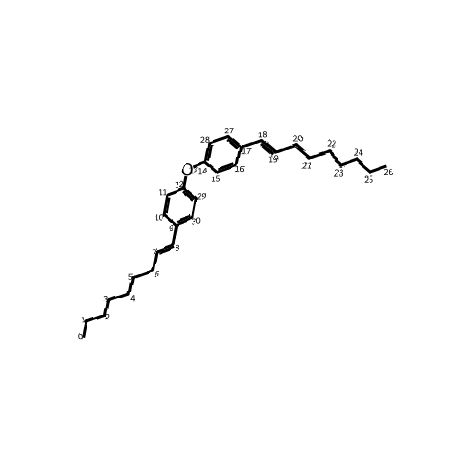 CCCCCCCC=Cc1ccc(Oc2ccc(C=CCCCCCCC)cc2)cc1